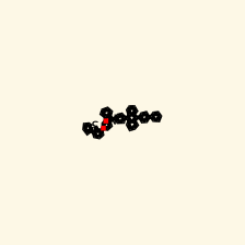 c1ccc(-c2ccc(-c3c4ccccc4c(-c4ccc(-n5c6ccccc6c6cc(-c7cccc8c7sc7ccccc78)ccc65)cc4)c4ccccc34)cc2)cc1